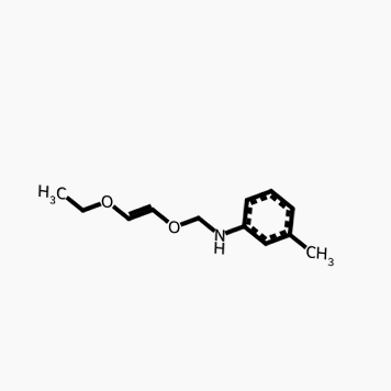 CCO/C=C/OCNc1cccc(C)c1